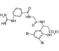 CCOC(=O)CC(NC(=O)CNC(=O)c1cccc(NC(=N)N)c1)c1cc(Br)cc(Br)c1O